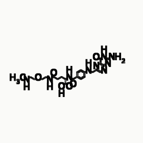 CNCCOCCNC(=O)CCC(NC(=O)c1ccc(NCc2cnc3nc(N)[nH]c(=O)c3n2)cc1)C(=O)O